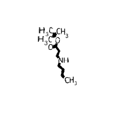 CCCCNCCC(=O)OC(C)(C)C